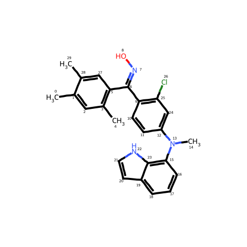 Cc1cc(C)c(C(=NO)c2ccc(N(C)c3cccc4cc[nH]c34)cc2Cl)cc1C